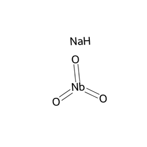 [NaH].[O]=[Nb](=[O])=[O]